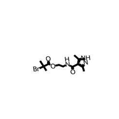 Cc1n[nH]c(C)c1C(=O)NCCOC(=O)C(C)(C)Br